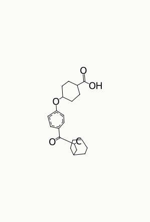 O=C(O)C1CCC(Oc2ccc(C(=O)C3CC4CCC(CC4)C3)cc2)CC1